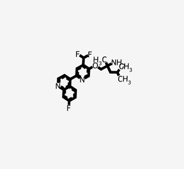 CC(C)CC(C)(N)COc1cnc(-c2ccnc3cc(F)ccc23)cc1C(F)F